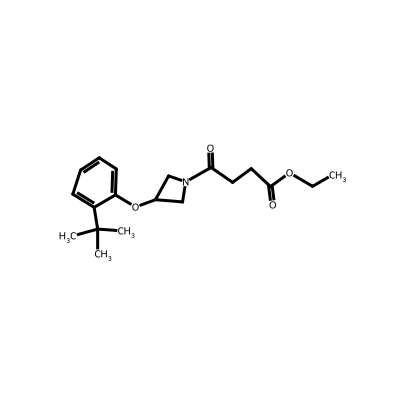 CCOC(=O)CCC(=O)N1CC(Oc2ccccc2C(C)(C)C)C1